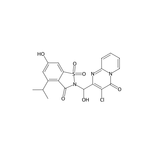 CC(C)c1cc(O)cc2c1C(=O)N(C(O)c1nc3ccccn3c(=O)c1Cl)S2(=O)=O